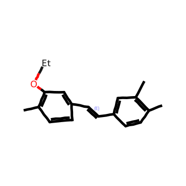 CCOc1cc(/C=C/c2ccc(C)c(C)c2)ccc1C